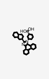 OB(O)c1cccc(-n2c(-c3ccc4ccccc4c3)nc3c4ccccc4c4ccccc4c32)c1